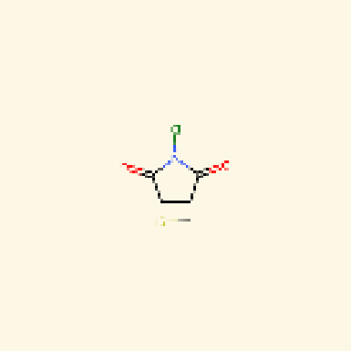 CS.O=C1CCC(=O)N1Cl